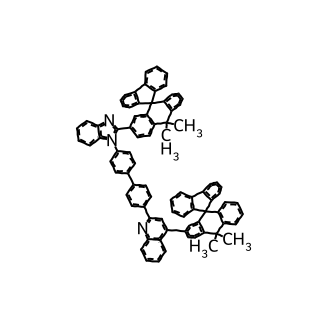 CC1(C)c2ccccc2C2(c3ccccc3-c3ccccc32)c2cc(-c3cc(-c4ccc(-c5ccc(-n6c(-c7ccc8c(c7)C7(c9ccccc9-c9ccccc97)c7ccccc7C8(C)C)nc7ccccc76)cc5)cc4)nc4ccccc34)ccc21